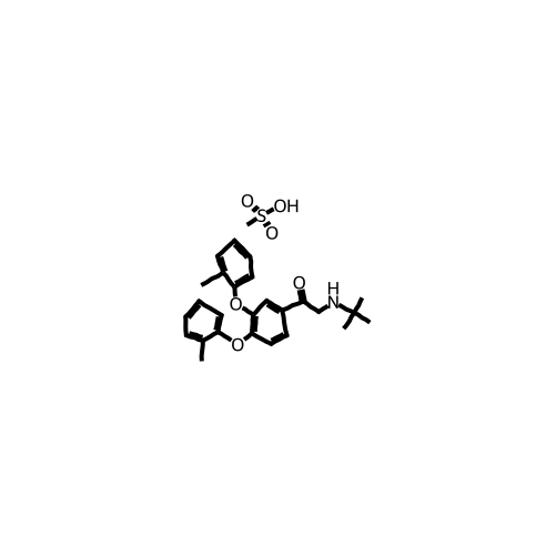 CS(=O)(=O)O.Cc1ccccc1Oc1ccc(C(=O)CNC(C)(C)C)cc1Oc1ccccc1C